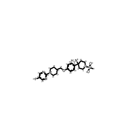 CS(=O)(=O)N1CCC(N)(c2ccc(OCC3CCN(c4ncc(F)cn4)CC3)cc2)CC1